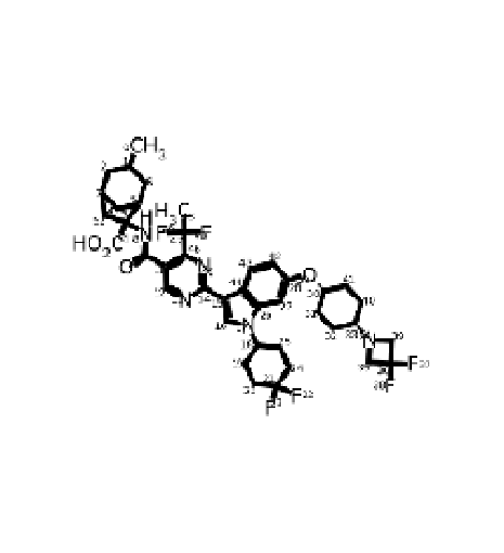 CC1CC2CC(C1)C(NC(=O)c1cnc(-c3cn(C4CCC(F)(F)CC4)c4cc(O[C@H]5CC[C@H](N6CC(F)(F)C6)CC5)ccc34)nc1C(C)(F)F)(C(=O)O)C2